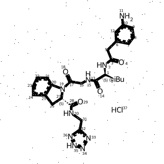 CC[C@H](C)[C@H](NC(=O)Cc1cccc(N)c1)C(=O)NCC(=O)N1c2ccccc2C[C@H]1C(=O)NCc1nn[nH]n1.Cl